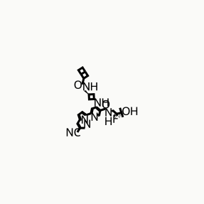 CC(C)(O)[C@H](F)CNC(=O)c1cnc(-c2ccc3cc(C#N)cnn23)cc1N[C@H]1C[C@H](CNC(=O)C2CC3CCC32)C1